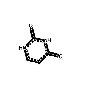 O=c1[c]c[nH]c(=O)[nH]1